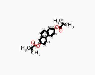 C=C(C)C(=O)OC1=CC2C=Cc3cc(OC(=O)C(=C)C)ccc3C2C=C1